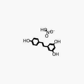 O=[N+]([O-])O.Oc1ccc(C=Cc2cc(O)cc(O)c2)cc1